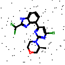 C[C@H]1COCCN1c1nc(Cl)cc(-c2cccc3[nH]c(C(F)F)nc23)n1